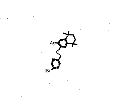 CC(=O)c1cc2c(cc1OCc1ccc(C(C)(C)C)cc1)C(C)(C)CCC2(C)C